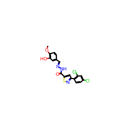 COc1ccc(/C=N/NC(=O)c2cc(-c3ccc(Cl)cc3Cl)ns2)cc1O